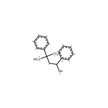 CCCC(CC(C(=O)O)(C(=O)O)c1ccccc1)c1ccccc1